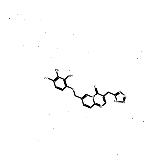 CCCc1c(OCc2ccc3ncc(Cc4nnn[nH]4)c(=O)n3c2)ccc(C(C)=O)c1O